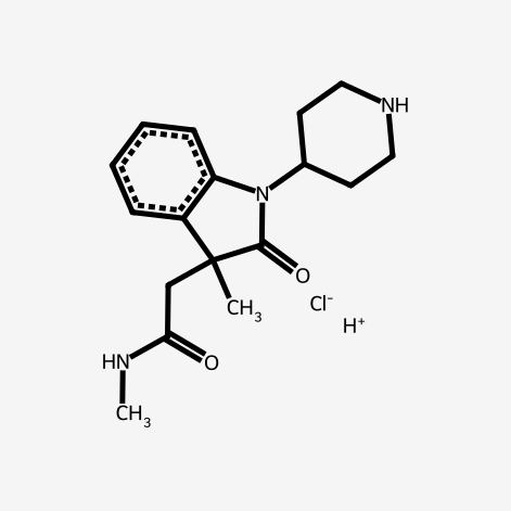 CNC(=O)CC1(C)C(=O)N(C2CCNCC2)c2ccccc21.[Cl-].[H+]